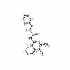 Cn1cc(NC(=O)NCc2ccccn2)c2ccccc2c1=O